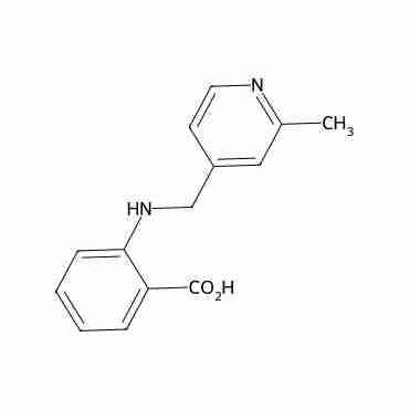 Cc1cc(CNc2ccccc2C(=O)O)ccn1